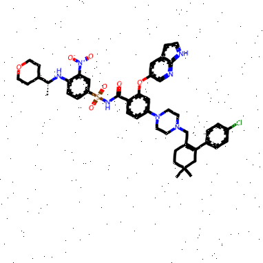 C[C@@H](Nc1ccc(S(=O)(=O)NC(=O)c2ccc(N3CCN(CC4=C(c5ccc(Cl)cc5)CC(C)(C)CC4)CC3)cc2Oc2cnc3[nH]ccc3c2)cc1[N+](=O)[O-])C1CCOCC1